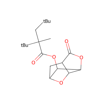 CC(C)(C)CC(C)(C(=O)OC1C2CC3C(=O)OC1C3O2)C(C)(C)C